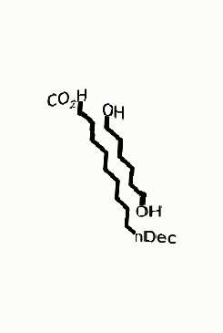 CCCCCCCCCCCCCCCCCCCC(=O)O.OCCCCCCO